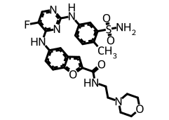 Cc1ccc(Nc2ncc(F)c(Nc3ccc4oc(C(=O)NCCN5CCOCC5)cc4c3)n2)cc1S(N)(=O)=O